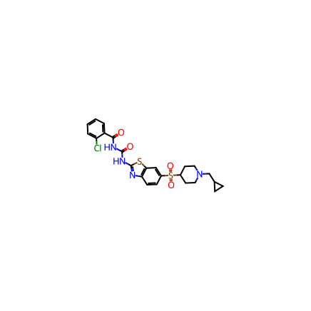 O=C(NC(=O)c1ccccc1Cl)Nc1nc2ccc(S(=O)(=O)C3CCN(CC4CC4)CC3)cc2s1